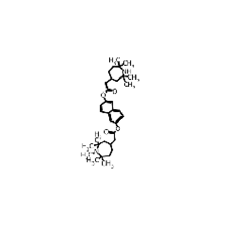 CN1C(C)(C)CCC(CC(=O)Oc2ccc3cc(OC(=O)CC4CCC(C)(C)NC(C)(C)C4)ccc3c2)CC1(C)C